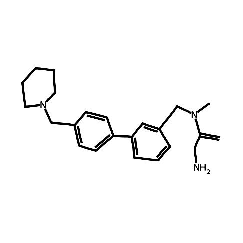 C=C(CN)N(C)Cc1cccc(-c2ccc(CN3CCCCC3)cc2)c1